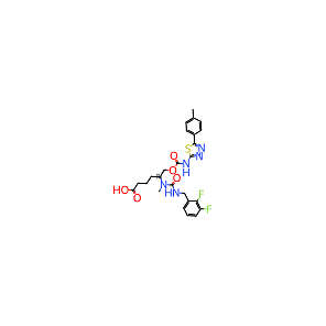 Cc1ccc(-c2nnc(NC(=O)OC[C@H](CCCC(=O)O)N(C)C(=O)NCc3cccc(F)c3F)s2)cc1